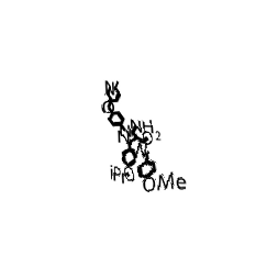 COc1ccc(Cn2c(=O)c3c(N)n(-c4ccc(Oc5ccc(C)nc5)cc4)nc3c3ccc(OC(C)C)cc32)cc1